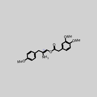 COc1ccc(C/C(N)=C/OC(=O)Cc2ccc(OC)c(OC)c2)cc1